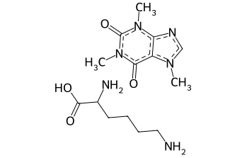 Cn1c(=O)c2c(ncn2C)n(C)c1=O.NCCCCC(N)C(=O)O